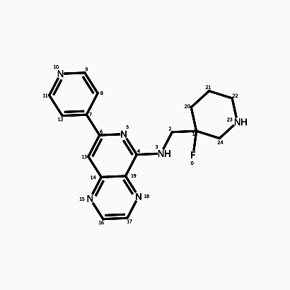 FC1(CNc2nc(-c3ccncc3)cc3nccnc23)CCCNC1